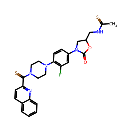 CC(=S)NCC1CN(c2ccc(N3CCN(C(=S)c4ccc5ccccc5n4)CC3)c(F)c2)C(=O)O1